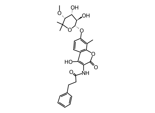 CO[C@@H]1[C@H](O)[C@@H](O)[C@H](Oc2ccc3c(O)c(NC(=O)CCc4ccccc4)c(=O)oc3c2C)OC1(C)C